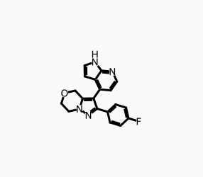 Fc1ccc(-c2nn3c(c2-c2ccnc4[nH]ccc24)COCC3)cc1